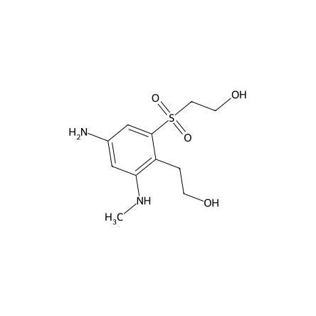 CNc1cc(N)cc(S(=O)(=O)CCO)c1CCO